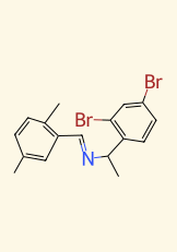 Cc1ccc(C)c(C=NC(C)c2ccc(Br)cc2Br)c1